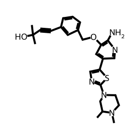 CC1CN(c2ncc(-c3cnc(N)c(OCc4cccc(C#CC(C)(C)O)c4)c3)s2)CCN1C